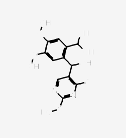 COc1cc(C(C)C)c(C(O)c2cnc(SC)nc2Cl)cc1OC